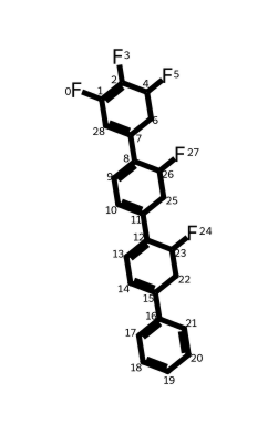 FC1=C(F)C(F)CC(C2=CC=C(C3=CC=C(c4ccccc4)CC3F)CC2F)=C1